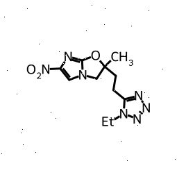 CCn1nnnc1CCC1(C)Cn2cc([N+](=O)[O-])nc2O1